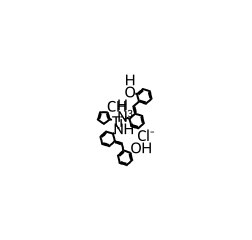 CC1=[C]([Ti+]([NH]C2C=CC=CC2=Cc2ccccc2O)[NH]C2C=CC=CC2=Cc2ccccc2O)CC=C1.[Cl-]